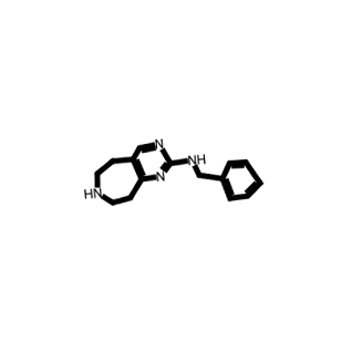 c1ccc(CNc2ncc3c(n2)CCNCC3)cc1